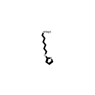 CCCCCCCCCCCCCOc1cccs1